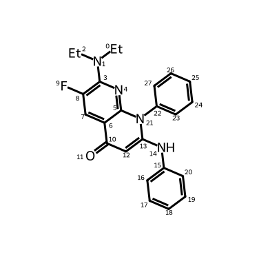 CCN(CC)c1nc2c(cc1F)c(=O)cc(Nc1ccccc1)n2-c1ccccc1